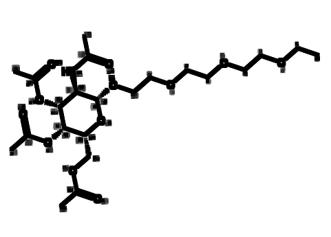 CCOCCOCCOCCO[C@@H]1O[C@H](COC(C)=O)[C@H](OC(C)=O)[C@H](OC(C)=O)[C@H]1NC(C)=O